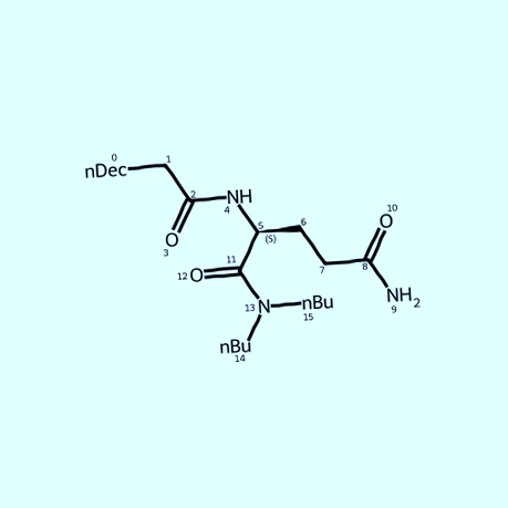 CCCCCCCCCCCC(=O)N[C@@H](CCC(N)=O)C(=O)N(CCCC)CCCC